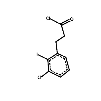 O=C(Cl)CCc1cccc(Cl)c1I